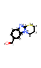 O=Cc1ccc2nc3n(c2c1)CCCS3